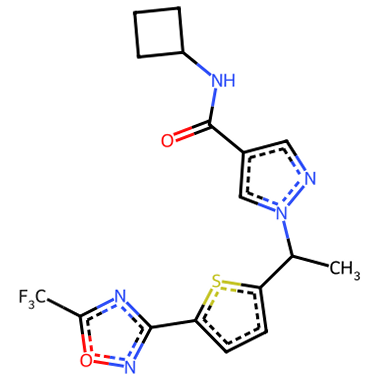 CC(c1ccc(-c2noc(C(F)(F)F)n2)s1)n1cc(C(=O)NC2CCC2)cn1